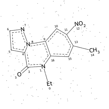 CCn1c(=O)c2ccnn2c2cc([N+](=O)[O-])c(C)cc21